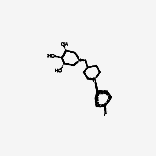 O[C@H]1[C@H](O)CN(CC2CCN(c3ccc(F)cc3)CC2)C[C@@H]1O